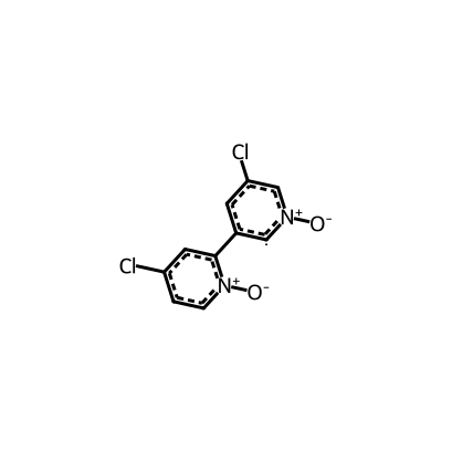 [O-][n+]1[c]c(-c2cc(Cl)cc[n+]2[O-])cc(Cl)c1